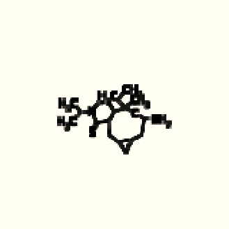 BC1CC2CC2CC2C(=S)N(C(C)C)CCC2C(C)(C(C)C)C1